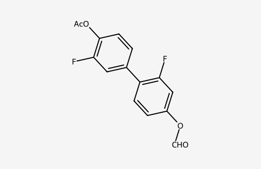 CC(=O)Oc1ccc(-c2ccc(OC=O)cc2F)cc1F